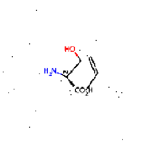 C=CC.N[C@@H](CO)C(=O)O